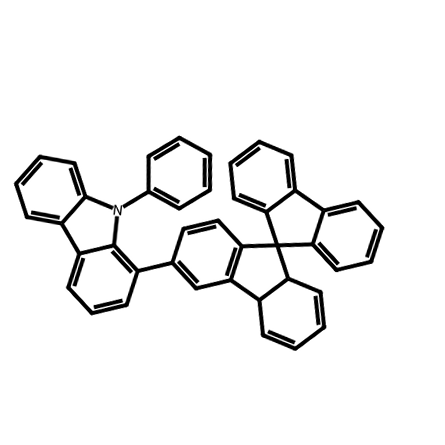 C1=CC2c3cc(-c4cccc5c6ccccc6n(-c6ccccc6)c45)ccc3C3(c4ccccc4-c4ccccc43)C2C=C1